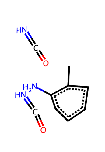 Cc1ccccc1N.N=C=O.N=C=O